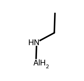 CC[NH][AlH2]